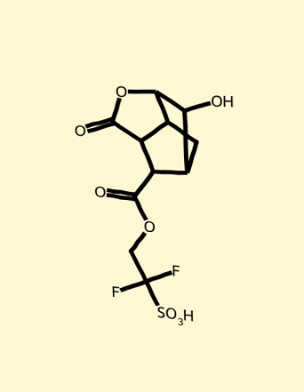 O=C(OCC(F)(F)S(=O)(=O)O)C1C2CC3C(OC(=O)C31)C2O